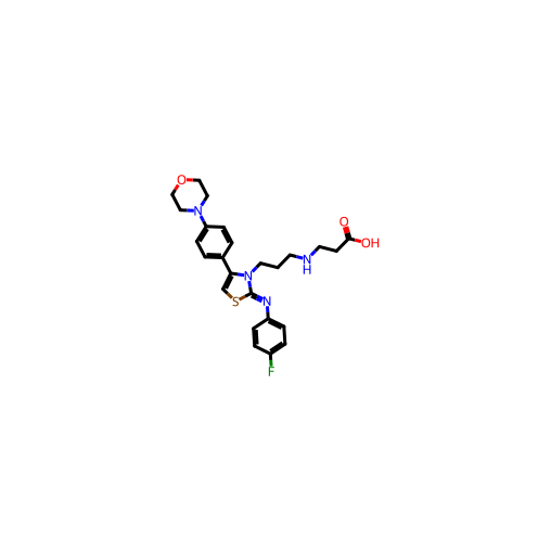 O=C(O)CCNCCCn1c(-c2ccc(N3CCOCC3)cc2)cs/c1=N\c1ccc(F)cc1